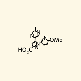 COc1ccc(-n2nc(C(=O)O)cc2-c2cnc(C)cn2)cn1